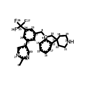 Cc1ncc(-c2cc(COCC3(c4ccccc4)CCNCC3)cc(C(F)(F)F)c2)cn1